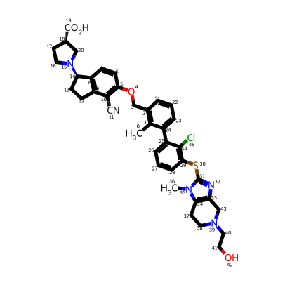 Cc1c(COc2ccc3c(c2C#N)CC[C@H]3N2CC[C@@H](C(=O)O)C2)cccc1-c1cccc(Sc2nc3c(n2C)CCN(CCO)C3)c1Cl